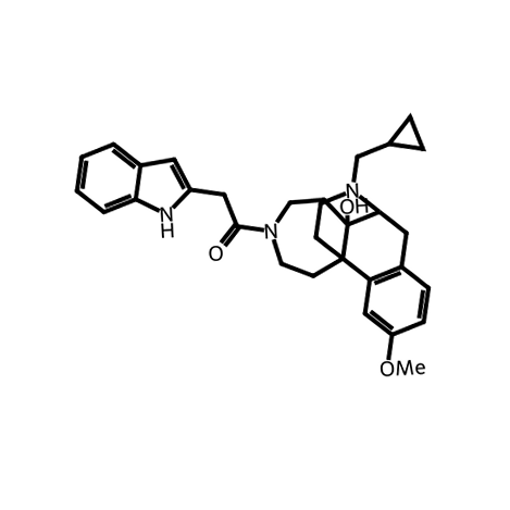 COc1ccc2c(c1)C13CCN(C(=O)Cc4cc5ccccc5[nH]4)CCC1(O)C(C2)N(CC1CC1)CC3